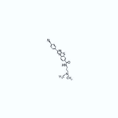 CCN(CC)CCCNC(=O)c1ccc2c(c1)sc1nc(-c3ccc(C#N)cc3)cn12